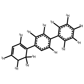 [2H]C1=CC([2H])=C(c2cc([2H])c(-c3c([2H])c([2H])c([2H])c([2H])c3[2H])c([2H])c2[2H])C([2H])([2H])C1[2H]